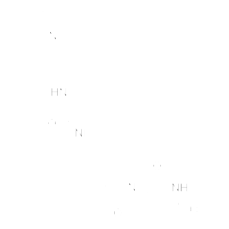 Cc1ccc(NCC(=O)NCc2ccc3c(c2)CN(C2CCC(=O)NC2=O)C3=O)cc1N1CCCC1